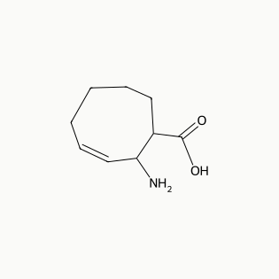 NC1/C=C\CCCCC1C(=O)O